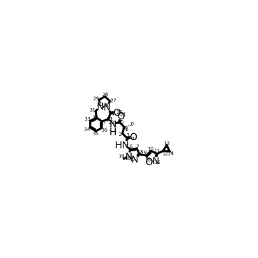 C[C@H](CC(=O)Nc1cc(-c2cc(C3CC3)no2)nn1C)C(=O)N[C@@H]1C(=O)N2CCCN2Cc2ccccc21